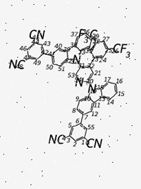 N#Cc1cc(C#N)cc(-c2ccc3c(c2)c2ccccc2n3-c2cc(-c3cc(C(F)(F)F)cc(C(F)(F)F)c3)c(-n3c4ccccc4c4cc(-c5cc(C#N)cc(C#N)c5)ccc43)cn2)c1